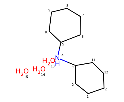 C1CCC(NC2CCCCC2)CC1.O.O.O